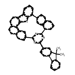 CC1(C)c2ccccc2-c2ccc(-c3nc(-c4ccccc4)nc(-c4ccc5ccc6ccc7c8cccc(-c9ccccc9)c8sc7c6c5c4)n3)cc21